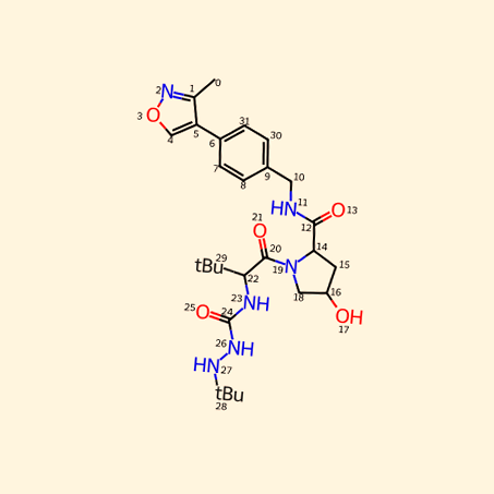 Cc1nocc1-c1ccc(CNC(=O)C2CC(O)CN2C(=O)C(NC(=O)NNC(C)(C)C)C(C)(C)C)cc1